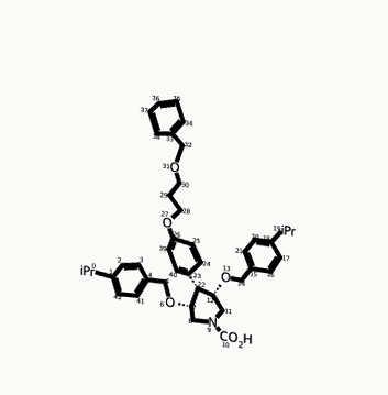 CC(C)c1ccc(CO[C@H]2CN(C(=O)O)C[C@@H](OCc3ccc(C(C)C)cc3)[C@H]2c2ccc(OCCCOCc3ccccc3)cc2)cc1